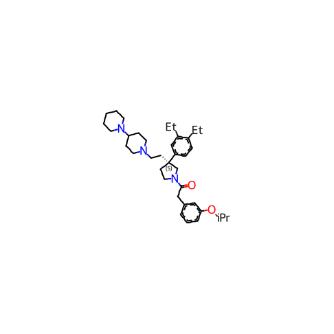 CCc1ccc([C@]2(CCN3CCC(N4CCCCC4)CC3)CCN(C(=O)Cc3cccc(OC(C)C)c3)C2)cc1CC